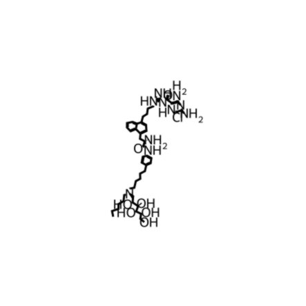 CCCCCCN(CCCCCCc1ccc(NC(=O)[C@@H](N)Cc2ccc(CCCCNC(=N)NC(=O)c3nc(Cl)c(N)nc3N)c3ccccc23)cc1)C[C@H](O)[C@@H](O)[C@H](O)[C@H](O)CO